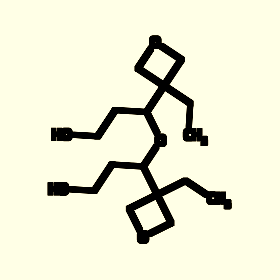 CCC1(C(CCO)OC(CCO)C2(CC)COC2)COC1